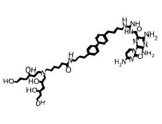 N=C(NCCCCc1ccc(-c2ccc(CCCNC(=O)CCCCCN(CCC(O)CCCO)CC(O)CC(O)CCO)cc2)cc1)NC(=O)c1nc(-n2ccc(N)nc2=O)c(N)nc1N